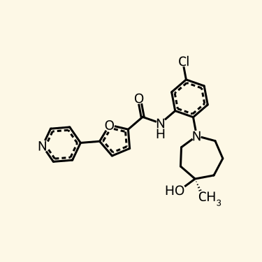 C[C@@]1(O)CCCN(c2ccc(Cl)cc2NC(=O)c2ccc(-c3ccncc3)o2)CC1